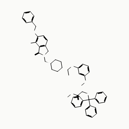 COC(=O)[C@H](COc1cccc(OC(C)[C@H]2CC[C@H](CN3Cc4ccc(OCc5ccccc5)c(F)c4C3=O)CC2)c1)NC(c1ccccc1)(c1ccccc1)c1ccccc1